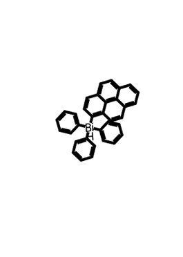 c1cc[c]([BiH]([c]2ccccc2)([c]2ccccc2)[c]2ccc3ccc4cccc5ccc2c3c45)cc1